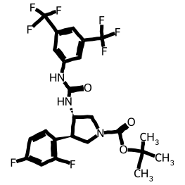 CC(C)(C)OC(=O)N1C[C@@H](NC(=O)Nc2cc(C(F)(F)F)cc(C(F)(F)F)c2)[C@H](c2ccc(F)cc2F)C1